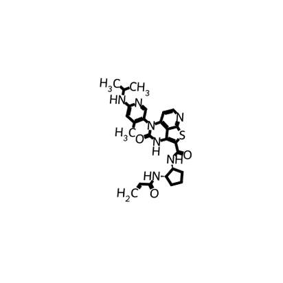 C=CC(=O)N[C@H]1CCC[C@H]1NC(=O)c1sc2nccc3c2c1NC(=O)N3c1cnc(NC(C)C)cc1C